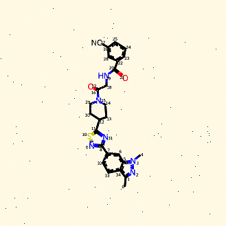 Cc1nn(C)c2cc(-c3nsc(C4CCN(C(=O)CNC(=O)c5cccc(C#N)c5)CC4)n3)ccc12